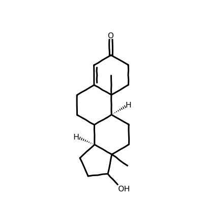 CC12CCC(=O)C=C1CCC1[C@@H]2CCC2(C)C(O)CC[C@@H]12